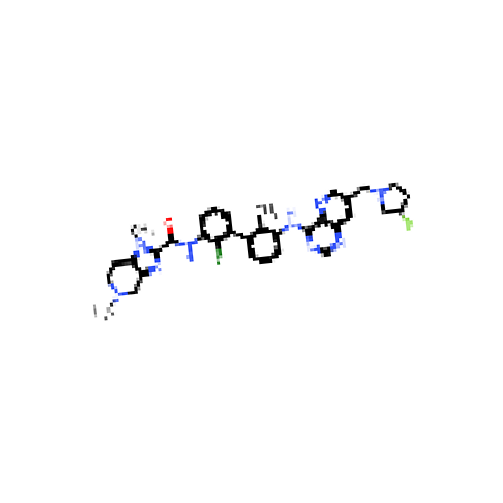 Cc1c(Nc2ncnc3cc(CN4CC[C@@H](F)C4)cnc23)cccc1-c1cccc(NC(=O)c2nc3c(n2C)CCN(C)C3)c1Cl